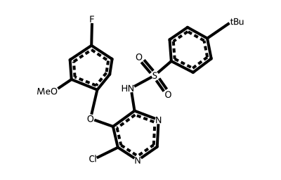 COc1cc(F)ccc1Oc1c(Cl)ncnc1NS(=O)(=O)c1ccc(C(C)(C)C)cc1